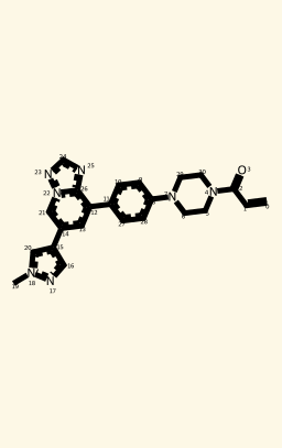 C=CC(=O)N1CCN(c2ccc(-c3cc(-c4cnn(C)c4)cn4ncnc34)cc2)CC1